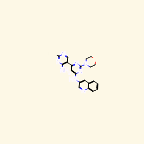 Cc1ncc(-c2cc(Nc3cnc4ccccc4c3)nc(N3CCOCC3)n2)c(N)n1